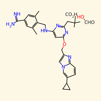 Cc1cc(C(=N)N)cc(C)c1CNc1cc(OCc2cn3cc(C4CC4)ccc3n2)nc(CC(C)(C)C(=O)O)n1.O=CO